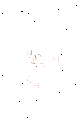 Cc1cc(SC2=C(O)CC(CCc3ccc(O)cc3)(C3CCCC3)OC2=O)c(C(C)(C)C)cc1CO